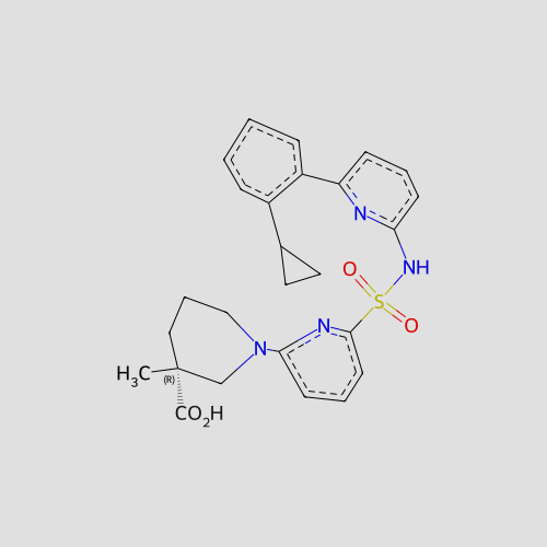 C[C@@]1(C(=O)O)CCCN(c2cccc(S(=O)(=O)Nc3cccc(-c4ccccc4C4CC4)n3)n2)C1